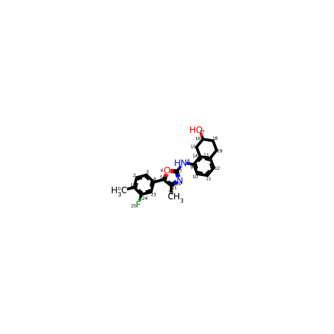 Cc1ccc(-c2oc(Nc3cccc4c3CC(O)CC4)nc2C)cc1F